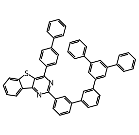 c1ccc(-c2ccc(-c3nc(-c4cccc(-c5cccc(-c6cc(-c7ccccc7)cc(-c7ccccc7)c6)c5)c4)nc4c3sc3ccccc34)cc2)cc1